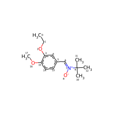 CCOc1cc(C=[N+]([O-])C(C)(C)C)ccc1OC